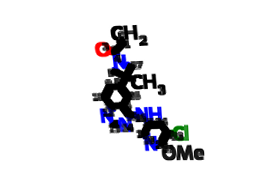 C=CC(=O)N1CC(C)(c2ccc3ncnc(Nc4cnc(OC)c(Cl)c4)c3c2)C1